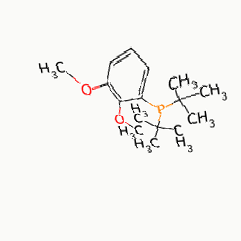 COc1cccc(P(C(C)(C)C)C(C)(C)C)c1OC